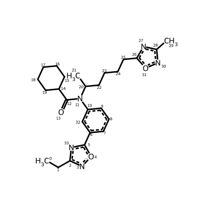 CCc1noc(-c2cccc(N(C(=O)C3CCCCC3)C(C)CCCCc3nc(C)no3)c2)n1